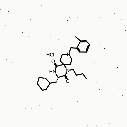 CCCCN1C(=O)[C@H](CC2CCCCC2)NC(=O)C12CCN(Cc1ccccc1C)CC2.Cl